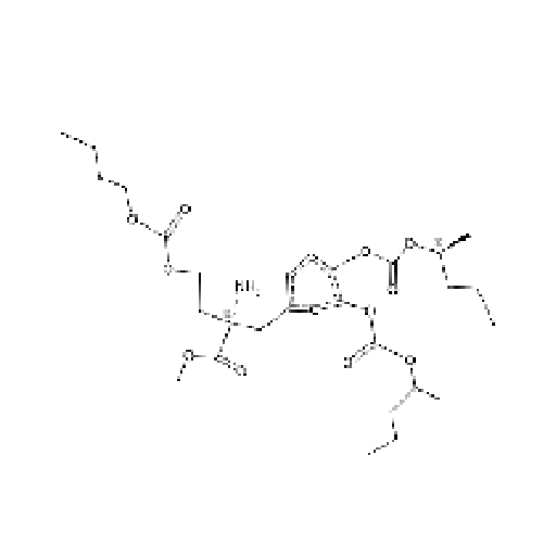 CCCCCOC(=O)OCC[C@@](N)(Cc1ccc(OC(=O)O[C@@H](C)CCC)c(OC(=O)OC(C)CCC)c1)C(=O)OC